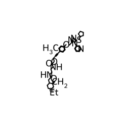 C=C1C[C@@H](CC)CCC1CC(=O)NCCNC(=O)OCC#Cc1ccc(OCc2nnc(SC3CCCC3)n2-c2cccnc2)cc1C